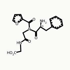 N[C@@H](Cc1ccccc1)C(=O)N(CC(=O)NCC(=O)O)C(=O)c1ccco1